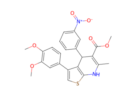 COC(=O)C1=C(C)Nc2scc(-c3ccc(OC)c(OC)c3)c2C1c1cccc([N+](=O)[O-])c1